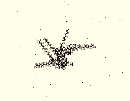 CCCCCCCCCCCCCC(=O)O[C@H](CCCCCCCCCCC)CC(=O)NC1C(OCC(OC)C(O)C(O)C(C)NC(=O)C[C@H](O)CCCCCCCCCCC)OC(CO)C(OP(=O)(O)O)C1OC(=O)C[C@@H](CCCCCCCCCCC)OC(=O)CCCCCCCCCCCCC